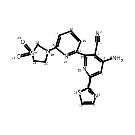 N#Cc1c(N)cc(-c2nccs2)nc1-c1cccc(N2CCS(=O)(=O)C2)n1